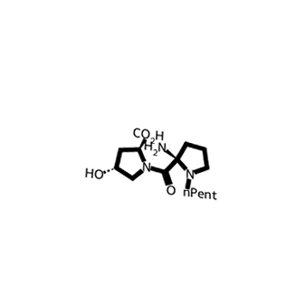 CCCCCN1CCC[C@@]1(N)C(=O)N1C[C@H](O)C[C@H]1C(=O)O